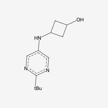 CC(C)(C)c1ncc(NC2CC(O)C2)cn1